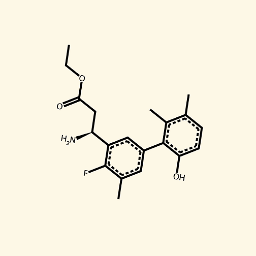 CCOC(=O)C[C@H](N)c1cc(-c2c(O)ccc(C)c2C)cc(C)c1F